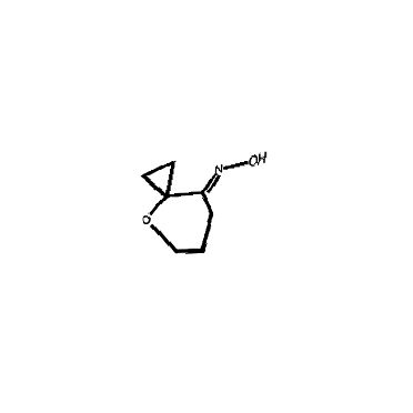 O/N=C1\CCCOC12CC2